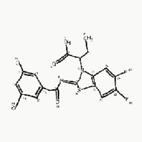 CCC(C(=O)O)n1c(=NC(=O)c2cc(Cl)cc(Cl)c2)sc2cc(F)c(F)cc21